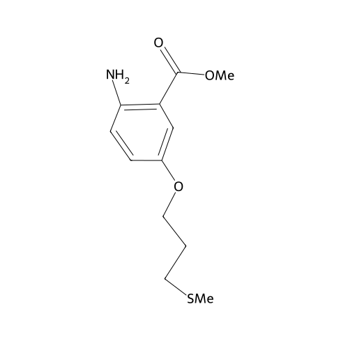 COC(=O)c1cc(OCCCSC)ccc1N